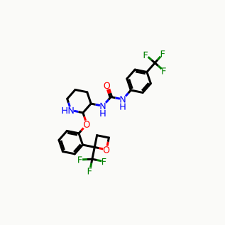 O=C(Nc1ccc(C(F)(F)F)cc1)NC1CCCNC1Oc1ccccc1C1(C(F)(F)F)CCO1